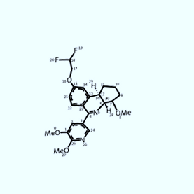 COc1cc(C2=N[C@H]3C(OC)CCC[C@@H]3c3cc(OCC(F)F)ccc32)cnc1OC